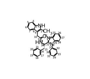 Cc1[nH]c2ccccc2c1CC(=O)N[C@@H](Cc1ccccc1)c1nc2ccccc2n1-c1ccccc1